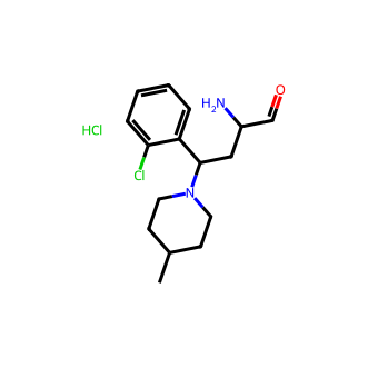 CC1CCN(C(CC(N)C=O)c2ccccc2Cl)CC1.Cl